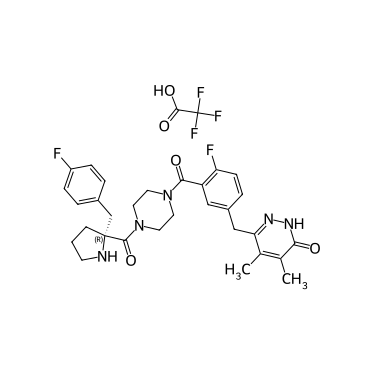 Cc1c(Cc2ccc(F)c(C(=O)N3CCN(C(=O)[C@]4(Cc5ccc(F)cc5)CCCN4)CC3)c2)n[nH]c(=O)c1C.O=C(O)C(F)(F)F